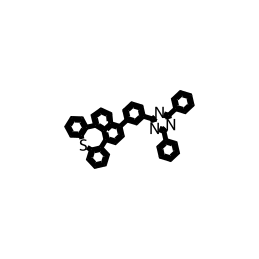 c1ccc(-c2nc(-c3ccccc3)nc(-c3cccc(-c4ccc5c6c(cccc46)-c4ccccc4Sc4ccccc4-5)c3)n2)cc1